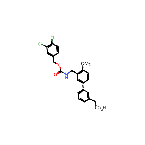 COc1ccc(-c2cccc(CC(=O)O)c2)cc1CNC(=O)OCc1ccc(Cl)c(Cl)c1